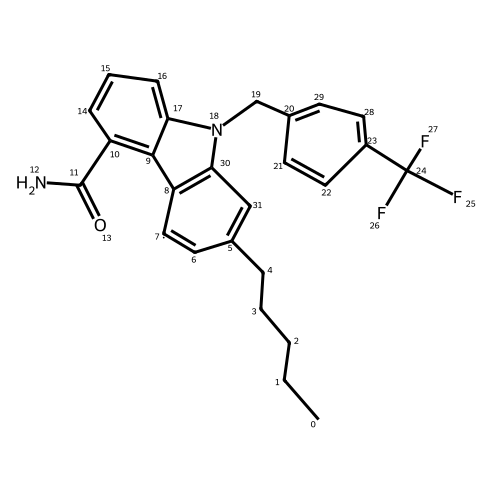 CCCCCc1c[c]c2c3c(C(N)=O)cccc3n(Cc3ccc(C(F)(F)F)cc3)c2c1